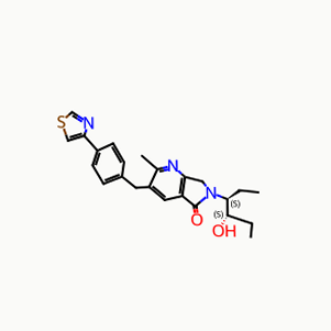 CC[C@H](O)[C@H](CC)N1Cc2nc(C)c(Cc3ccc(-c4cscn4)cc3)cc2C1=O